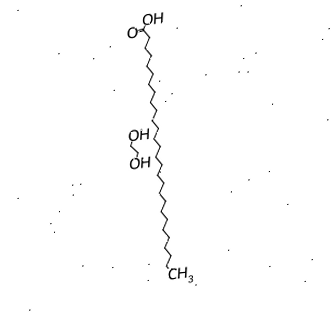 CCCCCCCCCCCCCCCCCCCCCCCCCCCC(=O)O.OCCO